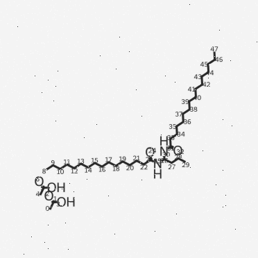 CC(=O)O.CC(=O)O.CCCCCCCCCCCCCCCC(=O)NC(CCC)NC(=O)CCCCCCCCCCCCCCC